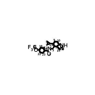 O=C(NCc1c(C2CC2)ccc2[nH]ncc12)c1ccc(OC(F)(F)F)cc1